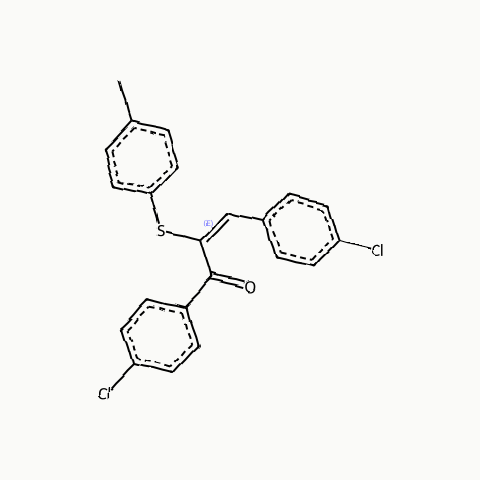 Cc1ccc(S/C(=C/c2ccc(Cl)cc2)C(=O)c2ccc(Cl)cc2)cc1